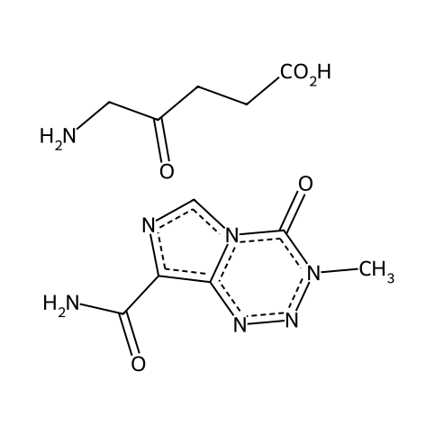 Cn1nnc2c(C(N)=O)ncn2c1=O.NCC(=O)CCC(=O)O